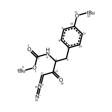 CC(C)(C)OC(=O)NC(Cc1ccc(OC(C)(C)C)cc1)C(=O)C=[N+]=[N-]